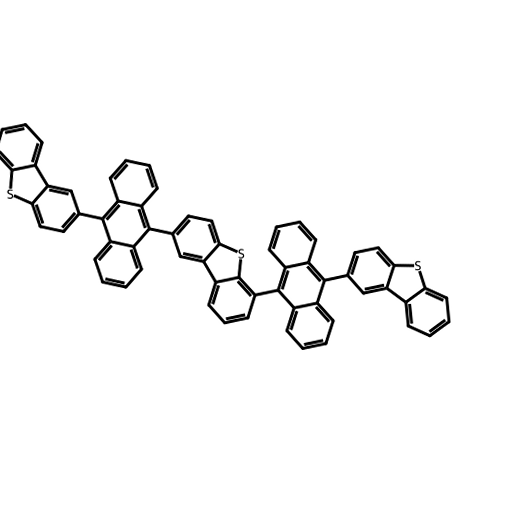 c1ccc2c(c1)sc1ccc(-c3c4ccccc4c(-c4ccc5sc6c(-c7c8ccccc8c(-c8ccc9sc%10ccccc%10c9c8)c8ccccc78)cccc6c5c4)c4ccccc34)cc12